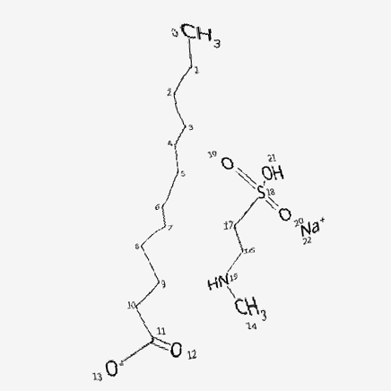 CCCCCCCCCCCC(=O)[O-].CNCCS(=O)(=O)O.[Na+]